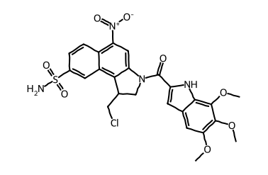 COc1cc2cc(C(=O)N3CC(CCl)c4c3cc([N+](=O)[O-])c3ccc(S(N)(=O)=O)cc43)[nH]c2c(OC)c1OC